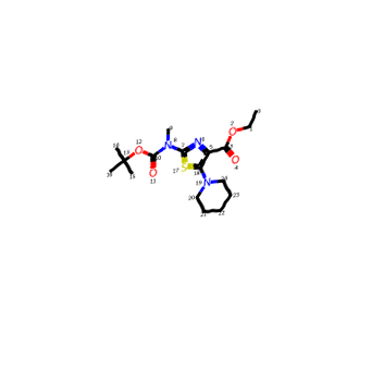 CCOC(=O)c1nc(N(C)C(=O)OC(C)(C)C)sc1N1CCCCC1